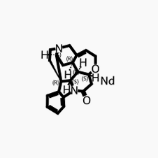 O=C1C[C@@H]2OCC=C3CN4CC[C@]56c7ccccc7N1[C@H]5[C@H]2[C@H]3C[C@H]46.[Nd]